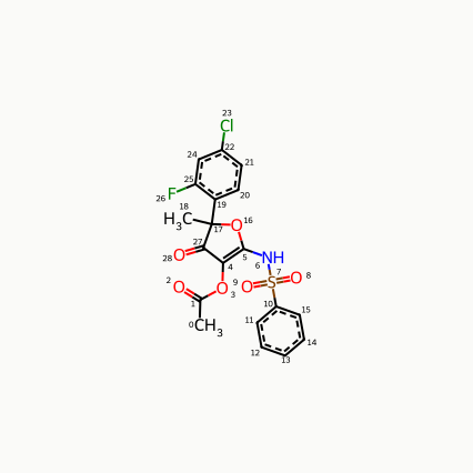 CC(=O)OC1=C(NS(=O)(=O)c2ccccc2)OC(C)(c2ccc(Cl)cc2F)C1=O